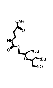 COC(=O)CCNC(=O)OCC(OC(CN=O)CC(C)(C)C)OC(C)(C)C